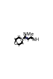 CN/C(=C\C=N)N1CCOCC1